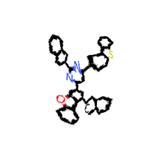 c1ccc2cc(-c3nc(-c4cc(-c5ccc6ccccc6c5)c5c(c4)oc4ccccc45)cc(-c4ccc5sc6ccccc6c5c4)n3)ccc2c1